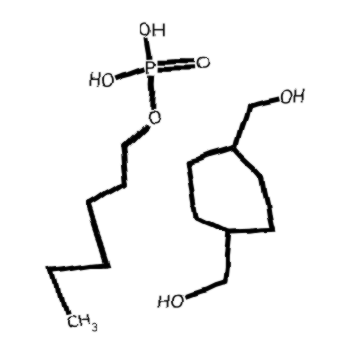 CCCCCCOP(=O)(O)O.OCC1CCC(CO)CC1